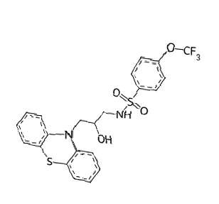 O=S(=O)(NCC(O)CN1c2ccccc2Sc2ccccc21)c1ccc(OC(F)(F)F)cc1